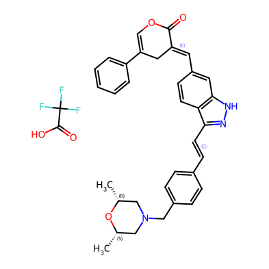 C[C@@H]1CN(Cc2ccc(/C=C/c3n[nH]c4cc(/C=C5\CC(c6ccccc6)=COC5=O)ccc34)cc2)C[C@H](C)O1.O=C(O)C(F)(F)F